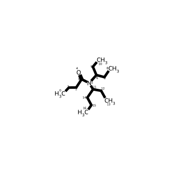 CCCC(=O)N(C(CC)CC)C(CC)CCC